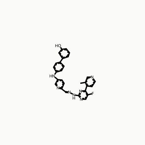 Cc1cnccc1-c1nc(N/N=C/c2ccc(Nc3ccc(-c4cccc(O)c4)cc3)cn2)ncc1F